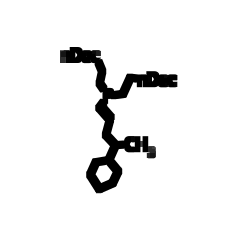 CCCCCCCCCCCCP(C=CCC(C)C1CCCCC1)CCCCCCCCCCCC